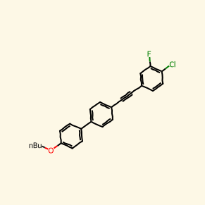 CCCCOc1ccc(-c2ccc(C#Cc3ccc(Cl)c(F)c3)cc2)cc1